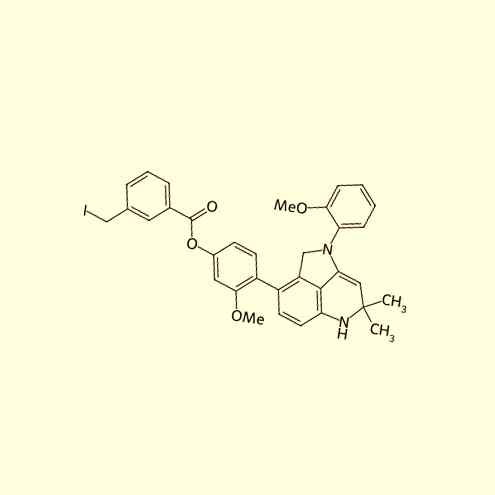 COc1cc(OC(=O)c2cccc(CI)c2)ccc1-c1ccc2c3c1CN(c1ccccc1OC)C3=CC(C)(C)N2